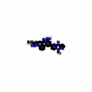 CC(=N)/N=C(/CCC(=N)n1ccc(-c2ccnc(Nc3ccnn3C)n2)cc1=N)Nc1ccccc1